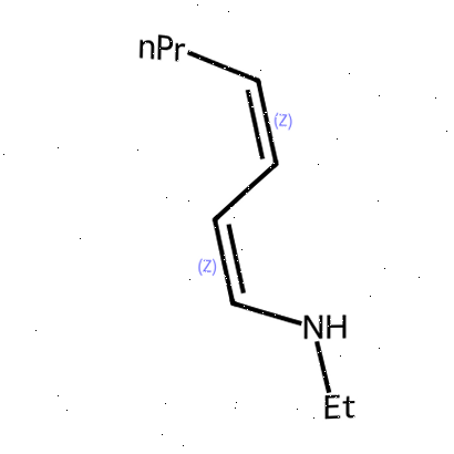 CCC/C=C\C=C/NCC